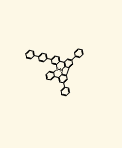 c1ccc(-c2ccc(-c3ccc4c(c3)B3c5ccccc5-c5cc(-c6ccccc6)cc6c7cc(-c8ccccc8)cc-4c7n3c56)cc2)cc1